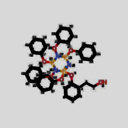 OCCc1ccccc1OP1(Oc2ccccc2)=NP(Oc2ccccc2)N(Oc2ccccc2)P(Oc2ccccc2)N1Oc1ccccc1